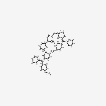 C=C(/C=C\C=C\c1cccc(N(c2ccccc2)c2ccc(C)cc2)c1)c1cccc(-c2cccc(N(c3ccccc3)c3ccc(C)cc3)c2)c1